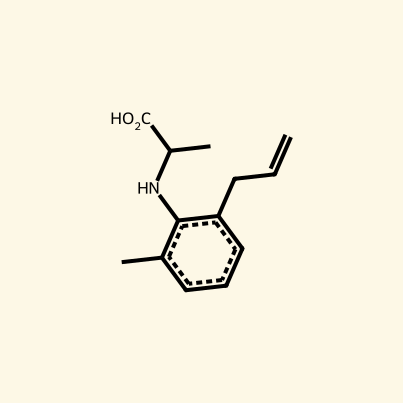 C=CCc1cccc(C)c1NC(C)C(=O)O